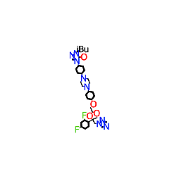 CCC(C)n1ncn(-c2ccc(N3CCN(c4ccc(OCC5OCC(Cn6cncn6)(c6ccc(F)cc6F)O5)cc4)CC3)cc2)c1=O